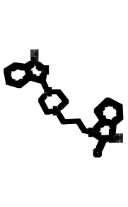 O=c1[nH]c2ccccc2n1CCCN1CCN(c2n[nH]c3ccccc23)CC1